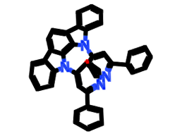 c1ccc(-c2cc(-n3c4ccccc4c4ccc5c6ccccc6n(-c6ccnc(-c7ccccc7)c6)c5c43)ccn2)cc1